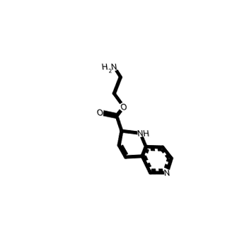 NCCOC(=O)C1C=Cc2cnccc2N1